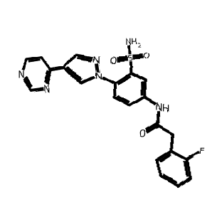 NS(=O)(=O)c1cc(NC(=O)Cc2ccccc2F)ccc1-n1cc(-c2ccncn2)cn1